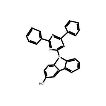 Oc1ccc2c(c1)c1ccccc1n2-c1nc(-c2ccccc2)nc(-c2ccccc2)n1